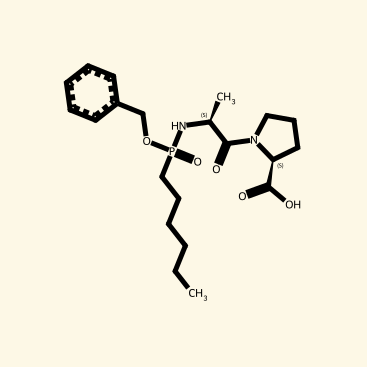 CCCCCCP(=O)(N[C@@H](C)C(=O)N1CCC[C@H]1C(=O)O)OCc1ccccc1